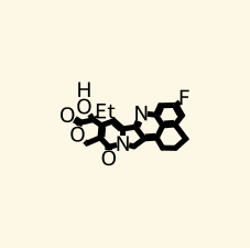 CC[C@@]1(O)C(=O)OCc2c1cc1n(c2=O)Cc2c-1nc1cc(F)cc3c1c2CCC3